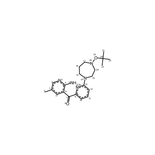 Cc1cnc(N)c(C(=O)c2cccc(N3CCCN(OC(C)(C)C)CC3)n2)c1